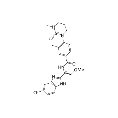 COC[C@H](NC(=O)c1ccc(N2CCCN(C)[S+]2[O-])c(C)c1)c1nc2cc(Cl)ccc2[nH]1